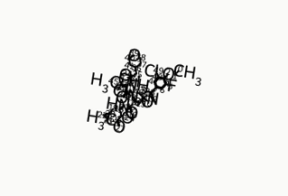 CCOc1c(F)cc(C2=NO[C@]3(C2)C[C@@H](C(=O)N[C@@H](CC2CC2)C(=O)C(C)=O)N(C(=O)[C@@H](NC(=O)CC2CCOCC2)C(C)(C)C)C3)cc1Cl